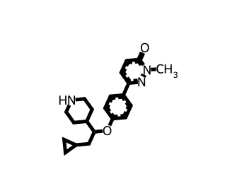 Cn1nc(-c2ccc(OC(CC3CC3)C3CCNCC3)cc2)ccc1=O